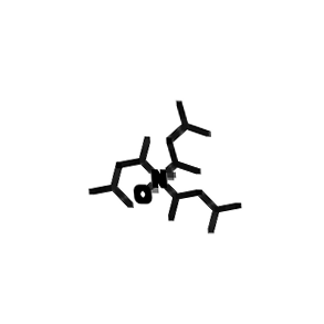 CC(C)CC(C)[N+]([O-])(C(C)CC(C)C)C(C)CC(C)C